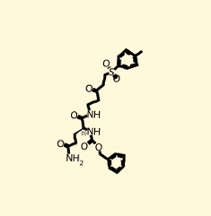 Cc1ccc(S(=O)(=O)CCC(=O)CCNC(=O)[C@H](CCC(N)=O)NC(=O)OCc2ccccc2)cc1